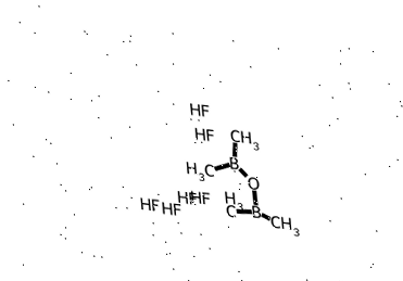 CB(C)OB(C)C.F.F.F.F.F.F